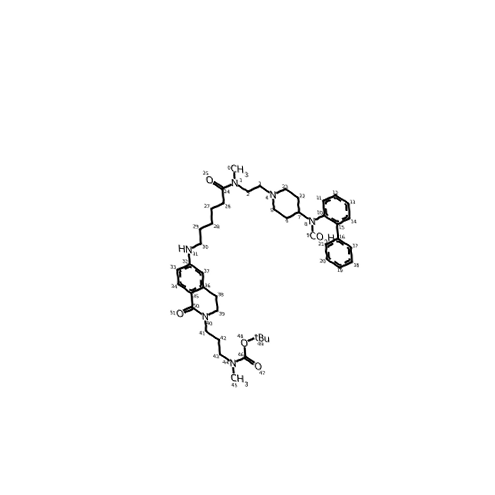 CN(CCN1CCC(N(C(=O)O)c2ccccc2-c2ccccc2)CC1)C(=O)CCCCCNc1ccc2c(c1)CCN(CCCN(C)C(=O)OC(C)(C)C)C2=O